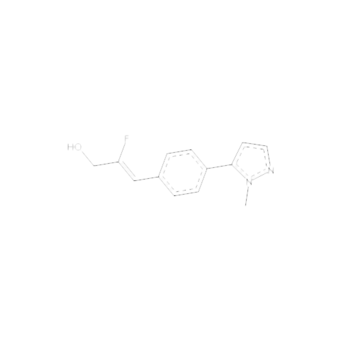 Cn1nccc1-c1ccc(/C=C(\F)CO)cc1